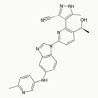 Cc1ccc(Nc2ccc3c(c2)ncn3-c2ccc([C@H](C)O)c(-c3c(C#N)n[nH]c3C)n2)cn1